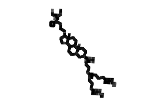 CCN(CC)C(=O)CCCC1CCC2C3CCC4CC(NCCCN(CCCN)CCCN)CCC4(C)C3CCC12C